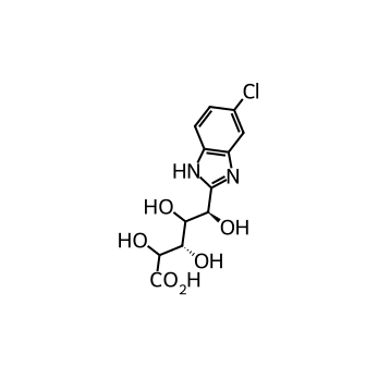 O=C(O)C(O)[C@@H](O)C(O)[C@H](O)c1nc2cc(Cl)ccc2[nH]1